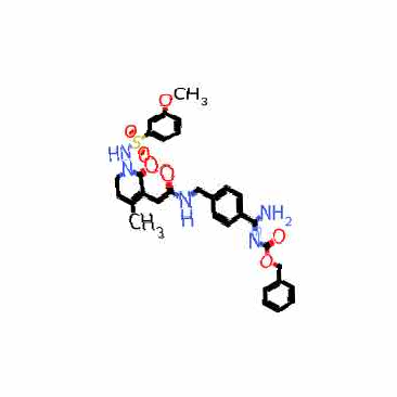 COc1cccc(S(=O)(=O)NN2CCC(C)=C(CC(=O)NCc3ccc(/C(N)=N/C(=O)OCc4ccccc4)cc3)C2=O)c1